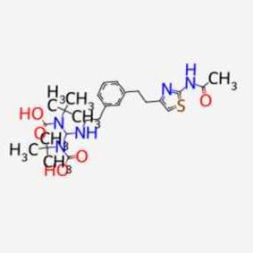 CC(=O)Nc1nc(CCc2cccc(CCNC(N(C(=O)O)C(C)(C)C)N(C(=O)O)C(C)(C)C)c2)cs1